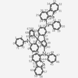 c1ccc(N2c3ccccc3C3(c4ccc(N(c5ccccc5)c5cccc6c5sc5ccccc56)cc4-c4ccc(N(c5ccccc5)c5cccc6c5sc5ccccc56)cc43)c3ccccc32)cc1